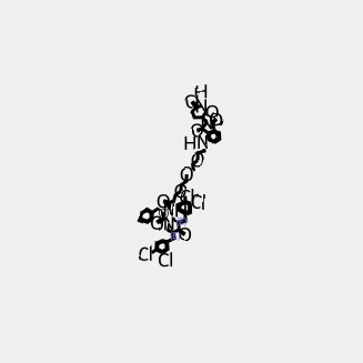 O=C1CCC(N2C(=O)c3cccc(NCCOCCOCCOCCC(=O)N[C@H](Cc4ccccc4)C(=O)N4C/C(=C\c5ccc(Cl)c(Cl)c5)C(=O)/C(=C/c5ccc(Cl)c(Cl)c5)C4)c3C2=O)C(=O)N1